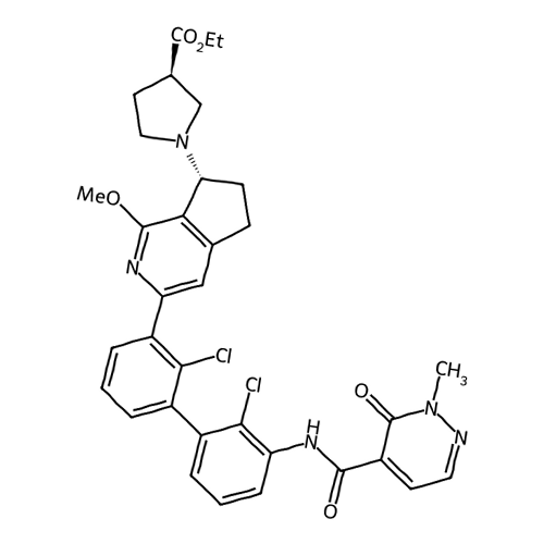 CCOC(=O)[C@@H]1CCN([C@@H]2CCc3cc(-c4cccc(-c5cccc(NC(=O)c6ccnn(C)c6=O)c5Cl)c4Cl)nc(OC)c32)C1